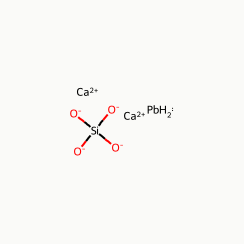 [Ca+2].[Ca+2].[O-][Si]([O-])([O-])[O-].[PbH2]